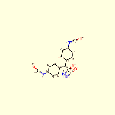 N=C=O.N=C=O.O=C=NC1CCC(CC2CCC(N=C=O)CC2)CC1